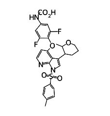 Cc1ccc(S(=O)(=O)n2cc(C3CCCOC3C)c3c(Oc4c(F)cc(NC(=O)O)cc4F)ccnc32)cc1